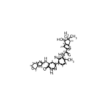 Cc1ccc(-c2cc(Nc3cc4n(n3)CCOC4)c(=O)[nH]n2)c(F)c1NC(=O)c1cc2c(s1)CC(C)(C)[C@H]2O